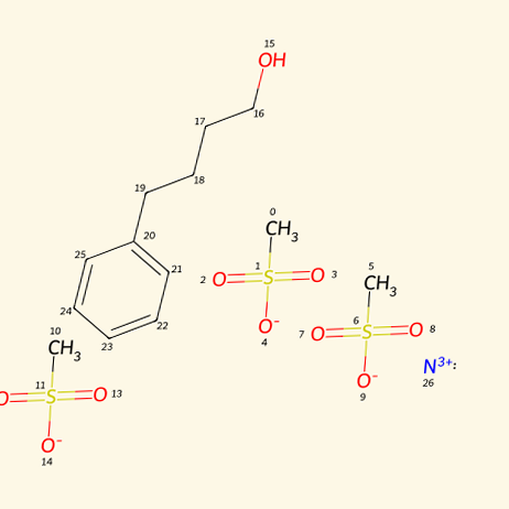 CS(=O)(=O)[O-].CS(=O)(=O)[O-].CS(=O)(=O)[O-].OCCCCc1ccccc1.[N+3]